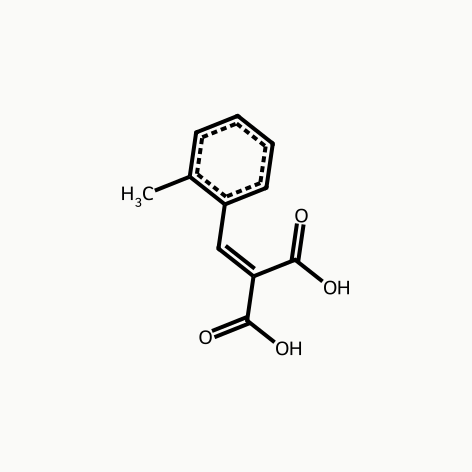 Cc1ccccc1C=C(C(=O)O)C(=O)O